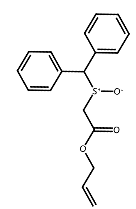 C=CCOC(=O)C[S+]([O-])C(c1ccccc1)c1ccccc1